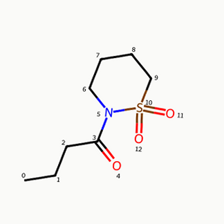 CCCC(=O)N1CCCCS1(=O)=O